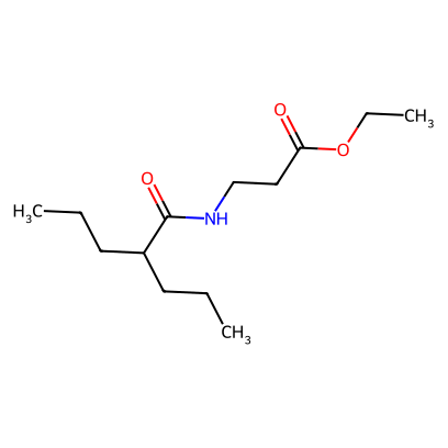 CCCC(CCC)C(=O)NCCC(=O)OCC